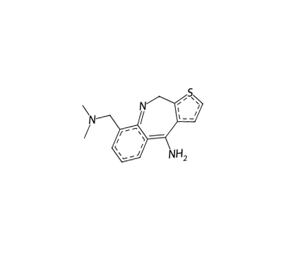 CN(C)Cc1cccc2c1=NCc1sccc1C=2N